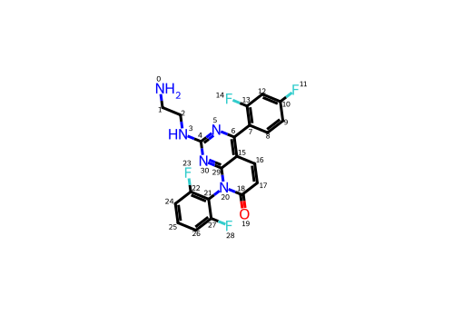 NCCNc1nc(-c2ccc(F)cc2F)c2ccc(=O)n(-c3c(F)cccc3F)c2n1